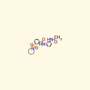 CC(=O)Nc1cccc(NC(=O)c2cccc(S(=O)(=O)N3CCCCCC3)c2)c1